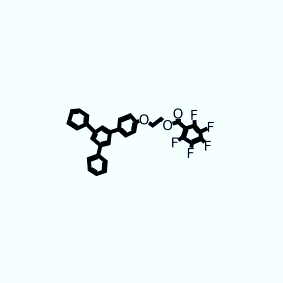 O=C(OCCOc1ccc(-c2cc(-c3ccccc3)cc(-c3ccccc3)c2)cc1)c1c(F)c(F)c(F)c(F)c1F